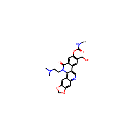 CCNC(=O)Oc1cc2c(=O)n(CCN(C)C)c3c4cc5c(cc4ncc3c2cc1CO)OCO5